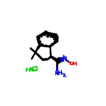 CC1(C)CC(C(N)=NO)c2ccccc21.Cl